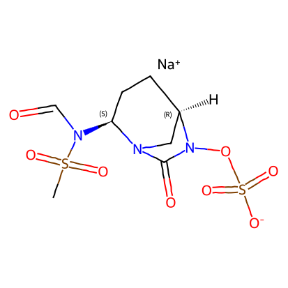 CS(=O)(=O)N(C=O)[C@H]1CC[C@@H]2CN1C(=O)N2OS(=O)(=O)[O-].[Na+]